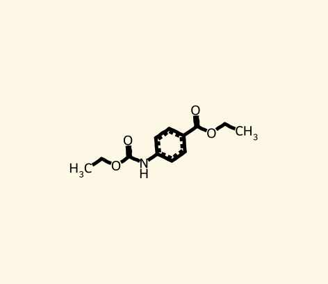 CCOC(=O)Nc1ccc(C(=O)OCC)cc1